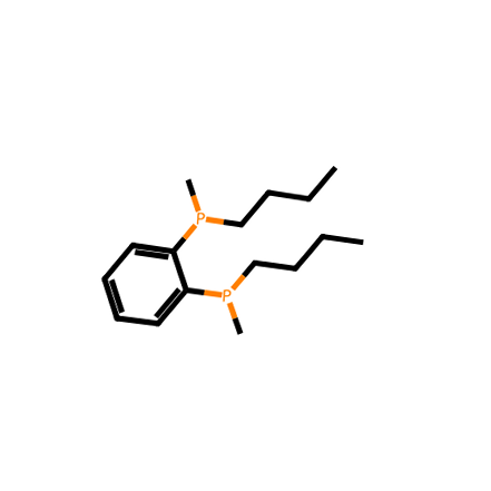 CCCCP(C)c1ccccc1P(C)CCCC